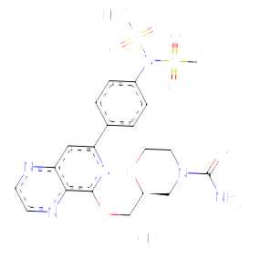 C[C@H](Oc1nc(-c2ccc(N(S(C)(=O)=O)S(C)(=O)=O)cc2)cc2nccnc12)[C@@H]1CN(C(N)=O)CCO1